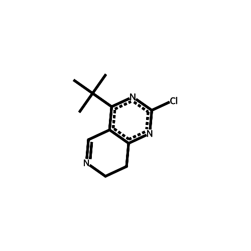 CC(C)(C)c1nc(Cl)nc2c1C=NCC2